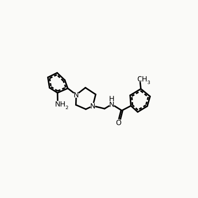 Cc1cccc(C(=O)NCN2CCN(c3ccccc3N)CC2)c1